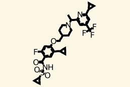 CC(c1cc(C(F)(F)F)cc(C2CC2)n1)N1CCC(COc2cc(F)c(C(=O)NS(=O)(=O)C3CC3)cc2C2CC2)CC1